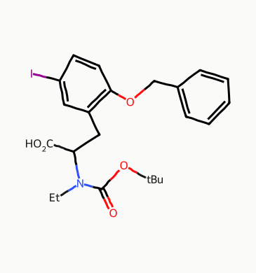 CCN(C(=O)OC(C)(C)C)C(Cc1cc(I)ccc1OCc1ccccc1)C(=O)O